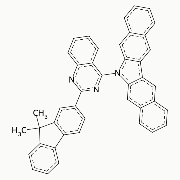 CC1(C)c2ccccc2-c2ccc(-c3nc(-n4c5cc6ccccc6cc5c5cc6ccccc6cc54)c4ccccc4n3)cc21